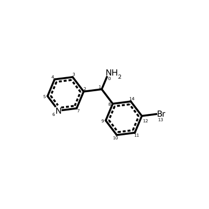 NC(c1cccnc1)c1cccc(Br)c1